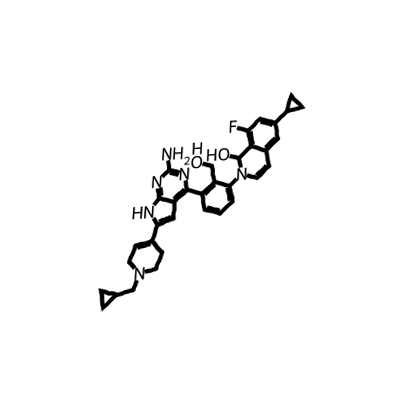 Nc1nc(-c2cccc(N3C=Cc4cc(C5CC5)cc(F)c4C3O)c2CO)c2cc(C3=CCN(CC4CC4)CC3)[nH]c2n1